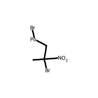 CC(Br)([CH2][Po][Br])[N+](=O)[O-]